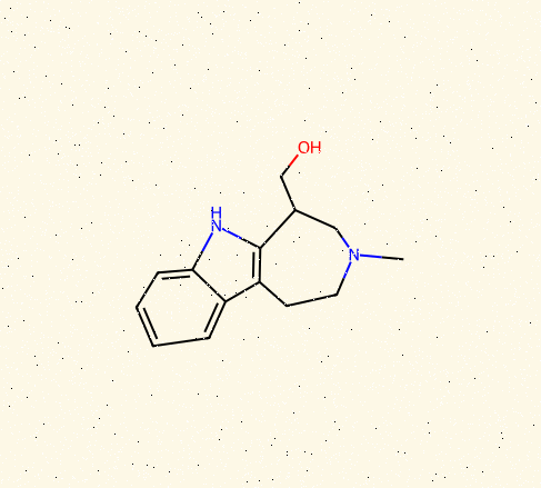 CN1CCc2c([nH]c3ccccc23)C(CO)C1